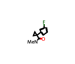 CNC(=O)C1(c2cccc(F)c2)CC1